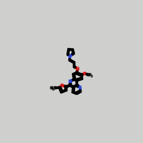 COc1cc2c(cc1OCCCN1CCCC1)nc(-c1ccc(C)o1)c1cccnc12